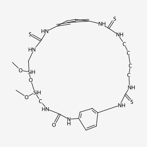 CO[SiH]1CNC(=O)Nc2ccc(cc2)NC(=S)NCCCCNC(=S)Nc2ccc(cc2)NC(=S)NC[SiH](OC)O1